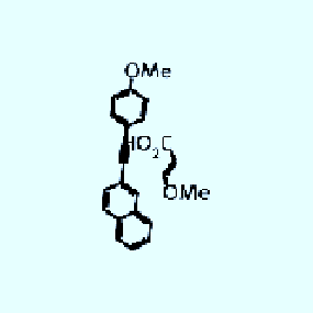 COC=CC(=O)O.COc1ccc(C#Cc2ccc3ccccc3c2)cc1